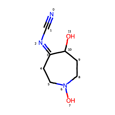 N#CN=C1CCN(O)CCC1O